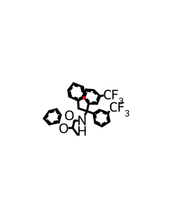 CC(Oc1ccccc1)C(=O)NC(Cc1ccccc1)(c1cccc(C(F)(F)F)c1)c1cccc(C(F)(F)F)c1